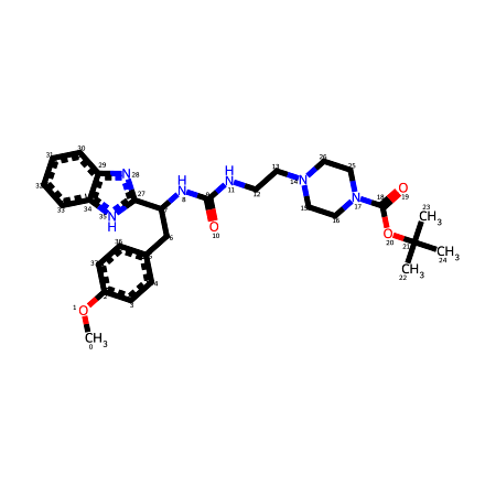 COc1ccc(CC(NC(=O)NCCN2CCN(C(=O)OC(C)(C)C)CC2)c2nc3ccccc3[nH]2)cc1